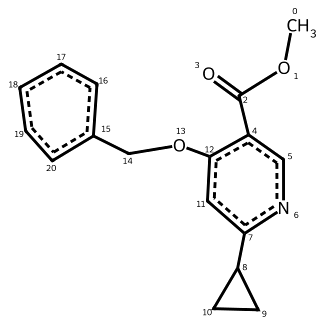 COC(=O)c1cnc(C2CC2)cc1OCc1ccccc1